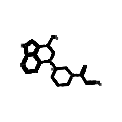 C=CC(=O)N1CCC[C@@H](N2CC(C)c3c[nH]c4ncnc2c34)C1